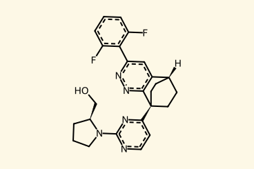 OC[C@@H]1CCCN1c1nccc([C@]23CC[C@H](CC2)c2cc(-c4c(F)cccc4F)nnc23)n1